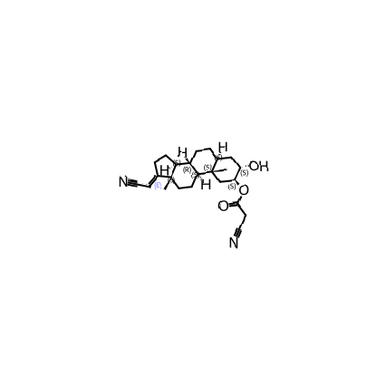 C[C@]12C[C@H](OC(=O)CC#N)[C@@H](O)C[C@@H]1CC[C@@H]1[C@@H]2CC[C@]2(C)/C(=C/C#N)CC[C@@H]12